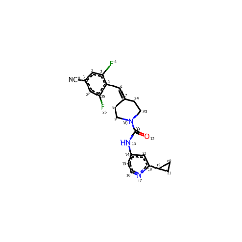 N#Cc1cc(F)c(C=C2CCN(C(=O)Nc3ccnc(C4CC4)c3)CC2)c(F)c1